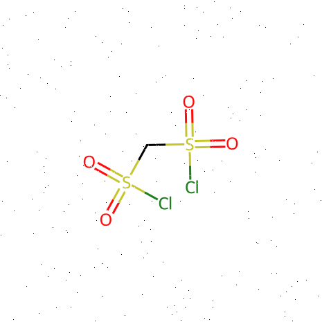 O=S(=O)(Cl)CS(=O)(=O)Cl